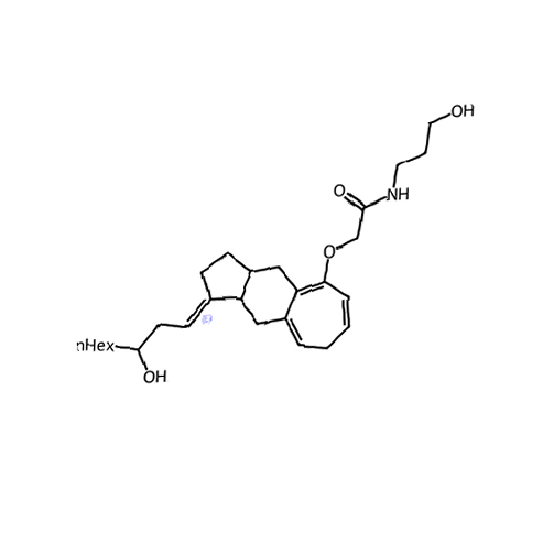 CCCCCCC(O)C/C=C1\CCC2CC3=C(OCC(=O)NCCCO)C=CCC=C3CC12